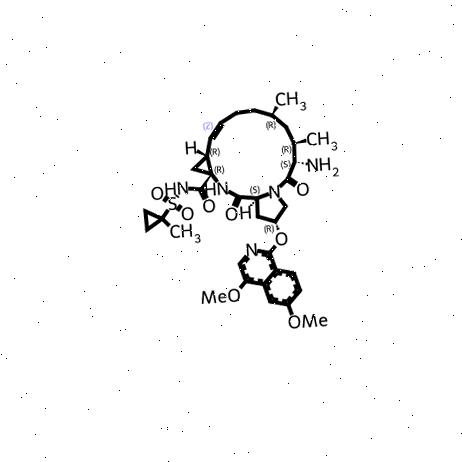 COc1ccc2c(O[C@@H]3C[C@H]4C(=O)N[C@]5(C(=O)NS(=O)(=O)C6(C)CC6)C[C@@H]5/C=C\CC[C@@H](C)C[C@@H](C)[C@H](N)C(=O)N4C3)ncc(OC)c2c1